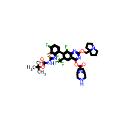 CC(C)(C)OC(=O)Nc1nc2c(-c3c(C(F)(F)F)cc4c(OC(=O)N5C6CCC5CNC6)nc(OCC56CCCN5CCC6)nc4c3F)ccc(F)c2s1